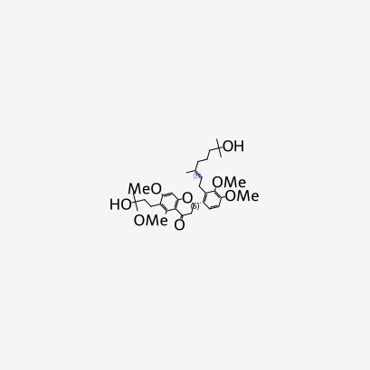 COc1cc2c(c(OC)c1CCC(C)(C)O)C(=O)C[C@@H](c1ccc(OC)c(OC)c1C/C=C(\C)CCCC(C)(C)O)O2